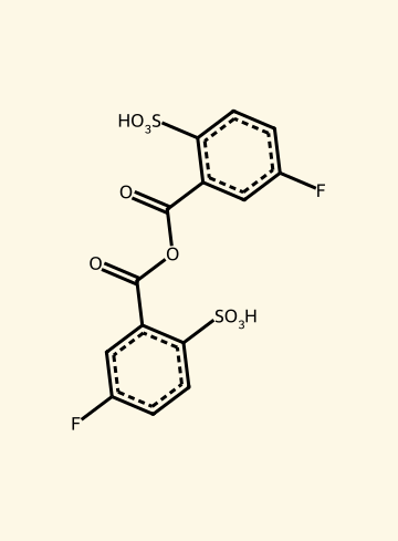 O=C(OC(=O)c1cc(F)ccc1S(=O)(=O)O)c1cc(F)ccc1S(=O)(=O)O